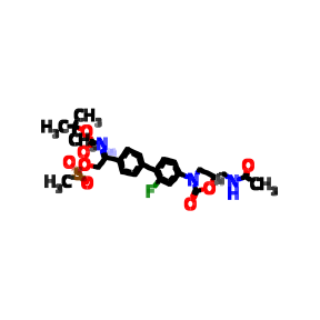 CC(=O)NC[C@H]1CN(c2ccc(-c3ccc(/C(COS(C)(=O)=O)=N/C(=O)OC(C)(C)C)cc3)c(F)c2)C(=O)O1